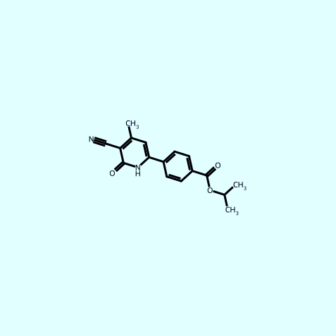 Cc1cc(-c2ccc(C(=O)OC(C)C)cc2)[nH]c(=O)c1C#N